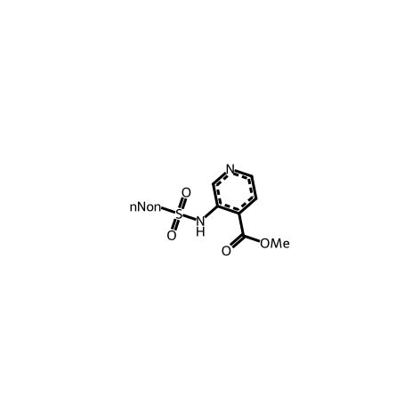 CCCCCCCCCS(=O)(=O)Nc1cnccc1C(=O)OC